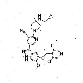 COc1cc2[nH]nc(-c3cnc(N4CCC(C)(NCC5CC5)CC4)c(C#N)c3)c2cc1O[C@H](C)c1c(Cl)cncc1Cl